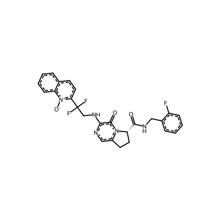 O=C(NCc1ccccc1F)[C@@H]1CCc2cnc(NCC(F)(F)c3ccc4ccccc4[n+]3[O-])c(=O)n21